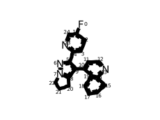 Fc1ccc(-c2nn3c(c2-c2ccnc4ccccc24)CCC3)nc1